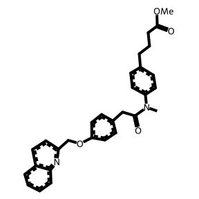 COC(=O)CCCc1ccc(N(C)C(=O)Cc2ccc(OCc3ccc4ccccc4n3)cc2)cc1